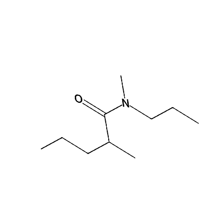 CCCC(C)C(=O)N(C)CCC